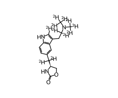 [2H]c1[nH]c2ccc(C([2H])([2H])[C@H]3COC(=O)N3)cc2c1CC([2H])([2H])N(C([2H])([2H])[2H])C([2H])([2H])[2H]